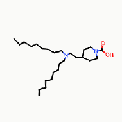 CCCCCCCCCN(CCCCCCCCC)CCC1CCN(C(=O)O)CC1